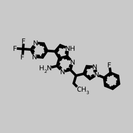 CCC(c1cnn(-c2ccccc2F)c1)c1nc(N)c2c(-c3cnc(C(F)(F)F)nc3)c[nH]c2n1